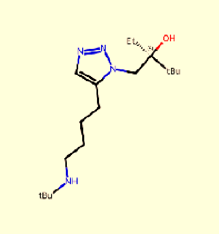 CC[C@@](O)(Cn1nncc1CCCCNC(C)(C)C)C(C)(C)C